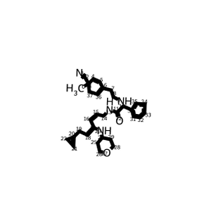 CC1(C#N)C=CC(CCNC(C(=O)NC/C=C\C(=C/CC2=CC2)NC2CCOCC2)c2ccccc2)=CC1